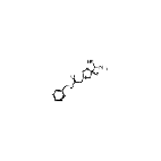 NC(S)C1(F)CCN(CC(=O)OCc2ccccc2)C1